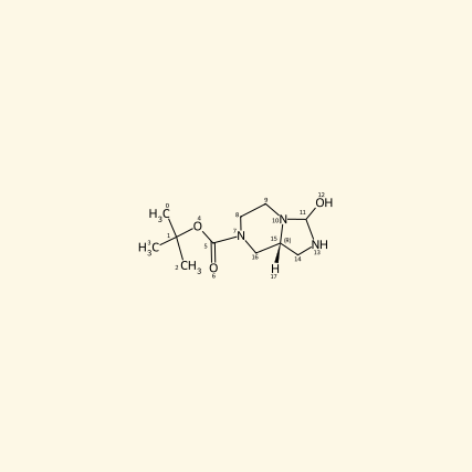 CC(C)(C)OC(=O)N1CCN2C(O)NC[C@@H]2C1